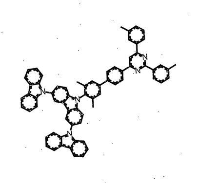 Cc1cccc(-c2cc(-c3ccc(-c4cc(C)c(-n5c6ccc(-n7c8ccccc8c8ccccc87)cc6c6cc(-n7c8ccccc8c8ccccc87)ccc65)c(C)c4)cc3)nc(-c3cccc(C)c3)n2)c1